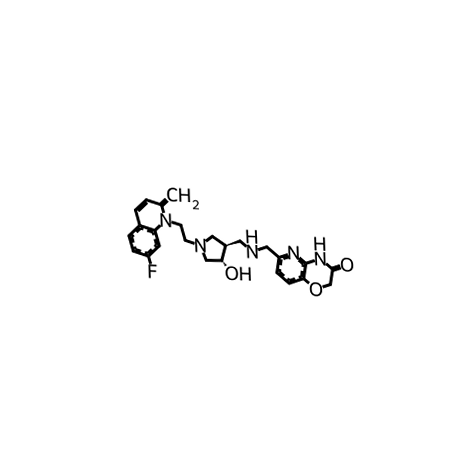 C=C1C=Cc2ccc(F)cc2N1CCN1C[C@@H](CNCc2ccc3c(n2)NC(=O)CO3)[C@H](O)C1